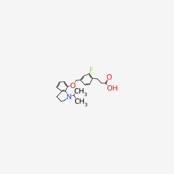 CC(C)N1CCCc2cccc(OCc3ccc(CCC(=O)O)c(F)c3)c21